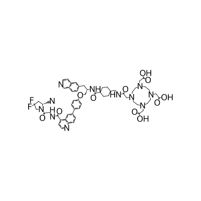 N#C[C@@H]1CC(F)(F)CN1C(=O)CNC(=O)c1ccnc2ccc(-c3ccc(OC[C@@H](Cc4ccc5cnccc5c4)NC(=O)C4CCC(CNC(=O)CN5CCN(CC(=O)O)CCN(CC(=O)O)CCN(CC(=O)O)CC5)CC4)cc3)cc12